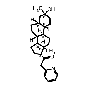 C[C@@]1(O)CC[C@H]2[C@H](CC[C@@H]3[C@@H]2CC[C@]2(C)[C@@H](C(=O)Cc4ccccn4)CC[C@@H]32)C1